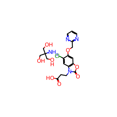 NC(CO)(CO)CO.O=C(O)CCn1c(=O)oc2cc(OCc3ncccn3)c(Cl)cc21